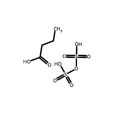 CCCC(=O)O.O=S(=O)(O)OS(=O)(=O)O